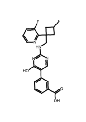 O=C(O)c1cccc(-c2cnc(NCC3(c4ncccc4F)CC(F)C3)nc2O)c1